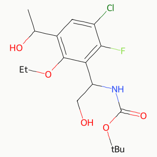 CCOc1c(C(C)O)cc(Cl)c(F)c1C(CO)NC(=O)OC(C)(C)C